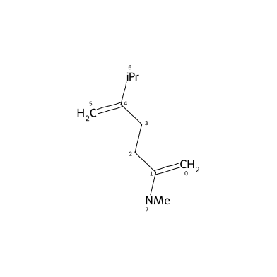 C=C(CCC(=C)C(C)C)NC